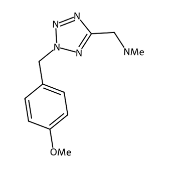 CNCc1nnn(Cc2ccc(OC)cc2)n1